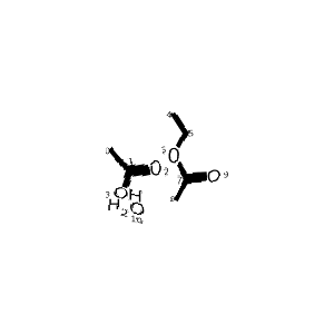 CC(=O)O.CCOC(C)=O.O